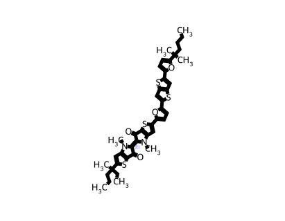 CCCCC(C)(C)c1ccc(-c2cc3sc(-c4ccc(-c5cc6c(s5)C(=O)/C(=C5/C(=O)c7sc(C(C)(CC)CCC)cc7N5C)N6C)o4)cc3s2)o1